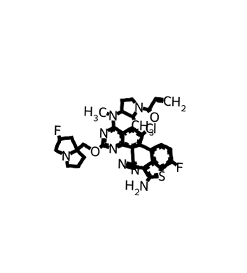 C=CC(=O)N1CCC(N(C)c2nc(OCC34CCCN3CC(F)C4)nc3c(C#N)c(-c4ccc(F)c5sc(N)c(C#N)c45)c(Cl)cc23)C1C